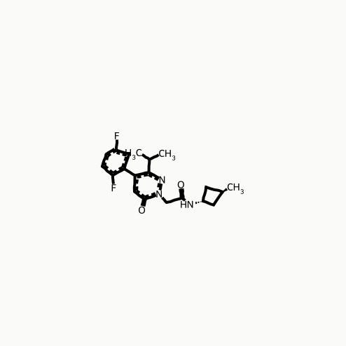 CC(C)c1nn(CC(=O)N[C@H]2C[C@H](C)C2)c(=O)cc1-c1cc(F)ccc1F